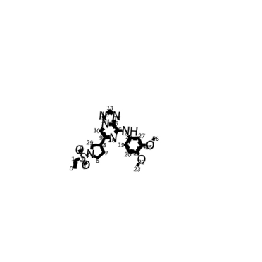 C=CS(=O)(=O)N1CCC(c2cn3ncnc3c(Nc3ccc(OC)c(OC)c3)n2)C1